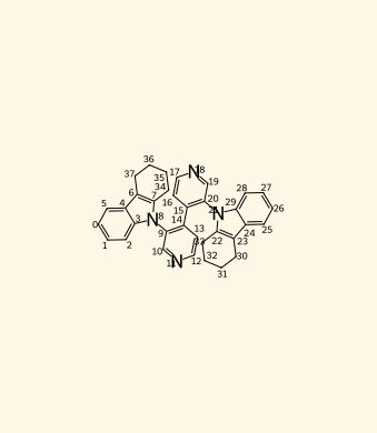 c1ccc2c(c1)c1c(n2-c2cnccc2-c2ccncc2-n2c3c(c4ccccc42)CCCC3)CCCC1